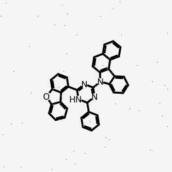 c1ccc(C2N=C(n3c4ccccc4c4c5ccccc5ccc43)N=C(c3cccc4oc5ccccc5c34)N2)cc1